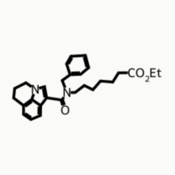 CCOC(=O)CCCCCCN(Cc1ccccc1)C(=O)c1cn2c3c(cccc13)CCC2